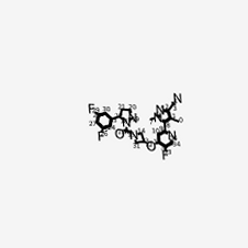 Cc1c(C#N)nn(C)c1-c1cc(OC2CN(C(=O)N3N=CCC3c3cc(F)cc(F)c3)C2)c(F)cn1